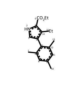 CCOC(=O)c1[nH]cc(-c2c(C)cc(C)cc2C)c1CC